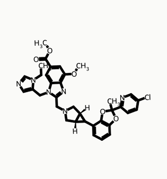 CCn1cncc1Cn1c(CN2C[C@@H]3C(c4cccc5c4OC(C)(c4ccc(Cl)cn4)O5)[C@@H]3C2)nc2c(OC)cc(C(=O)OC)cc21